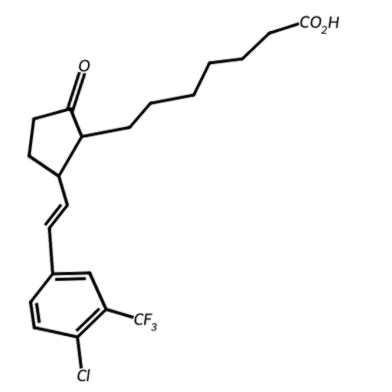 O=C(O)CCCCCCC1C(=O)CCC1C=Cc1ccc(Cl)c(C(F)(F)F)c1